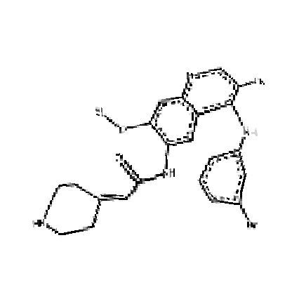 CCOc1cc2ncc(C#N)c(Nc3cccc(Br)c3)c2cc1NC(=O)C=C1CCNCC1